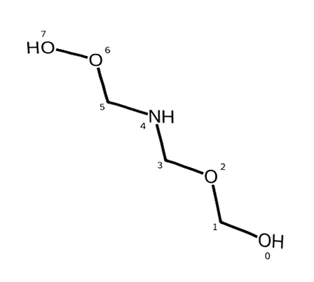 OCOCNCOO